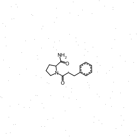 NC(=O)C1CCCN1C(=O)[CH]Cc1ccccc1